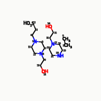 CC.O=S(=O)(O)CCN1CCN(CCO)CC1.OCCN1CCNCC1